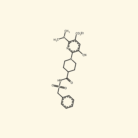 CCOC(=O)c1cc(C#N)c(N2CCC(C(=O)NS(=O)(=O)Cc3ccccc3)CC2)nc1N(C)C